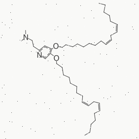 CCCCC/C=C\C/C=C\CCCCCCCCOc1cnc(CCN(C)C)cc1OCCCCCCCC/C=C\C/C=C\CCCCC